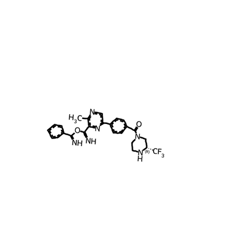 Cc1ncc(-c2ccc(C(=O)N3CCN[C@@H](C(F)(F)F)C3)cc2)nc1C(=N)OC(=N)c1ccccc1